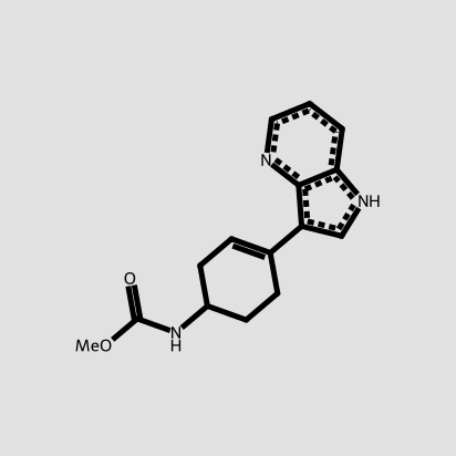 COC(=O)NC1CC=C(c2c[nH]c3cccnc23)CC1